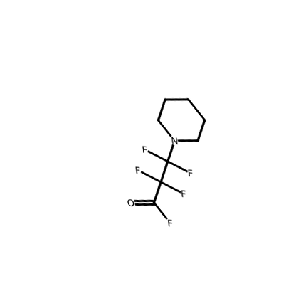 O=C(F)C(F)(F)C(F)(F)N1CCCCC1